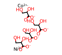 O=C([O-])C(O)CO.O=C([O-])C(O)CO.O=C([O-])C(O)CO.O=C([O-])C(O)CO.[Co+2].[Ni+2]